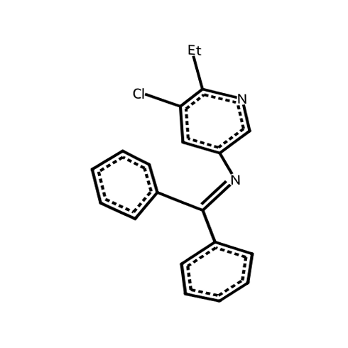 CCc1ncc(N=C(c2ccccc2)c2ccccc2)cc1Cl